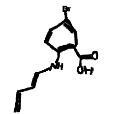 C=C/C=C/Nc1ccc(Br)cc1C(=O)O